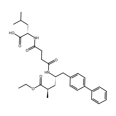 CCOC(=O)[C@H](C)C[C@@H](Cc1ccc(-c2ccccc2)cc1)NC(=O)CCC(=O)N[C@@H](CC(C)C)C(=O)O